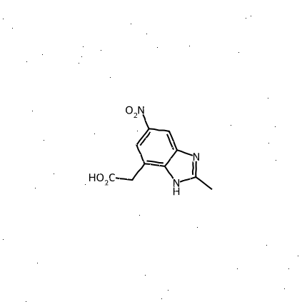 Cc1nc2cc([N+](=O)[O-])cc(CC(=O)O)c2[nH]1